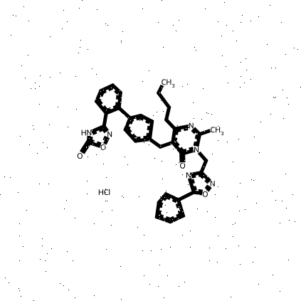 CCCCc1nc(C)n(Cc2noc(-c3ccccc3)n2)c(=O)c1Cc1ccc(-c2ccccc2-c2noc(=O)[nH]2)cc1.Cl